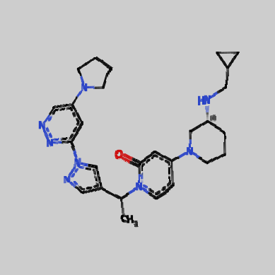 CC(c1cnn(-c2cc(N3CCCC3)cnn2)c1)n1ccc(N2CCC[C@@H](NCC3CC3)C2)cc1=O